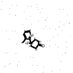 Cc1cccnc1C1(F)CCC(=O)CC1